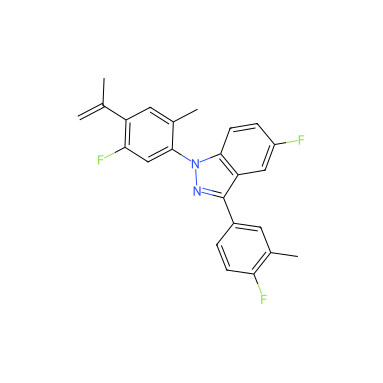 C=C(C)c1cc(C)c(-n2nc(-c3ccc(F)c(C)c3)c3cc(F)ccc32)cc1F